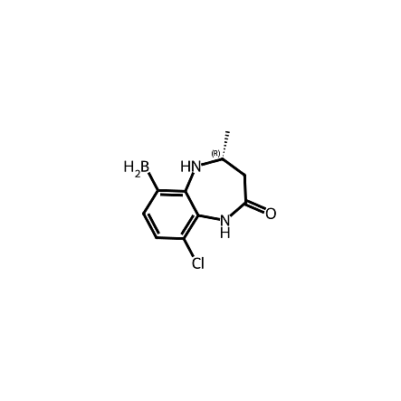 Bc1ccc(Cl)c2c1N[C@H](C)CC(=O)N2